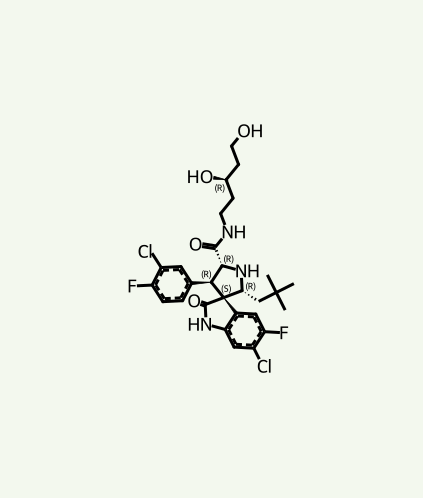 CC(C)(C)C[C@H]1N[C@@H](C(=O)NCC[C@@H](O)CCO)[C@H](c2ccc(F)c(Cl)c2)[C@@]12C(=O)Nc1cc(Cl)c(F)cc12